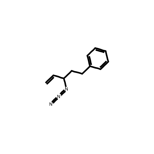 C=CC(CCc1ccccc1)N=[N+]=[N-]